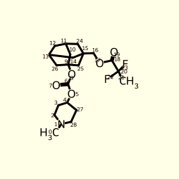 CN1CCC(OC(=O)OC23CC4CC(CC(COC(=O)C(C)(F)F)(C4)C2)C3)CC1